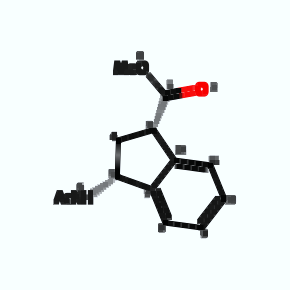 COC(=O)[C@H]1C[C@@H](NC(C)=O)c2ccccc21